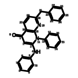 O=c1cc(Nc2ccccc2)n(-c2ccccc2)c2nc(Cc3ccccc3)ccc12